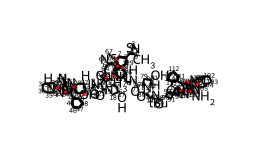 Cc1ncsc1-c1ccc(CNC(=O)[C@@H]2C[C@@H](O)CN2C(=O)[C@@H](NC(=O)[C@H]2CC[C@@H](c3cnc(N4C5CCC4CN(c4cc(-c6ccccc6O)nnc4N)C5)nc3)CC2)C(C)(C)CCc2ncsc2-c2ccc(CNC(=O)[C@@H]3C[C@@H](O)CN3C(=O)[C@@H](NC(=O)[C@H]3CC4(C3)C[C@H](c3cnc(N5C6CCC5CN(c5cc(-c7ccccc7O)nnc5N)C6)nc3)C4)C(C)(C)C)cc2)cc1